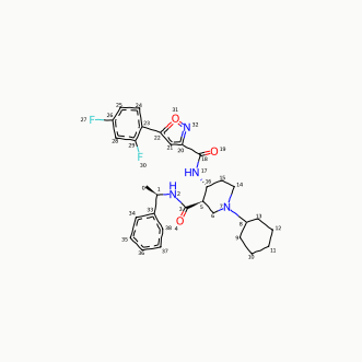 C[C@@H](NC(=O)[C@@H]1CN(C2CCCCC2)CC[C@H]1NC(=O)c1cc(-c2ccc(F)cc2F)on1)c1ccccc1